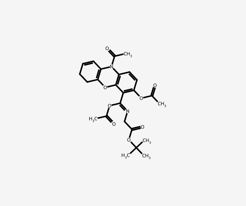 CC(=O)OC(=NCC(=O)OC(C)(C)C)c1c(OC(C)=O)ccc2c1OC1=C(C=CCC1)N2C(C)=O